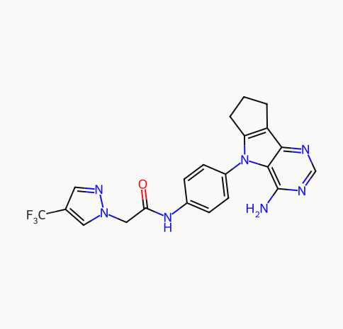 Nc1ncnc2c3c(n(-c4ccc(NC(=O)Cn5cc(C(F)(F)F)cn5)cc4)c12)CCC3